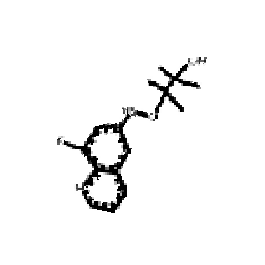 CC(C)(O)C(C)(C)OBc1cc(F)c2ncccc2c1